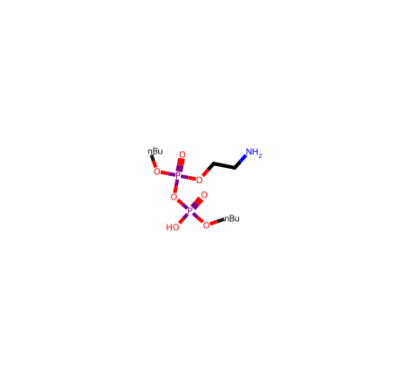 CCCCOP(=O)(O)OP(=O)(OCCN)OCCCC